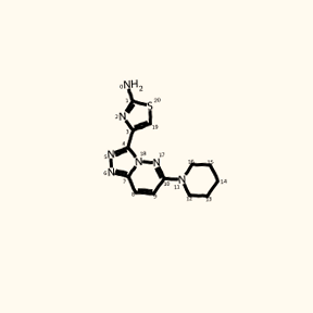 Nc1nc(-c2nnc3ccc(N4CCCCC4)nn23)cs1